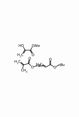 C=C(C)C(=O)OCCCC.C=C(O)C(=O)OC.C=CC(=O)OCCCC